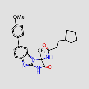 COc1ccc(-c2ccc3nc4n(c3c2)C(NC(=O)CCC2CCCC2)(C(F)(F)F)C(=O)N4)cc1